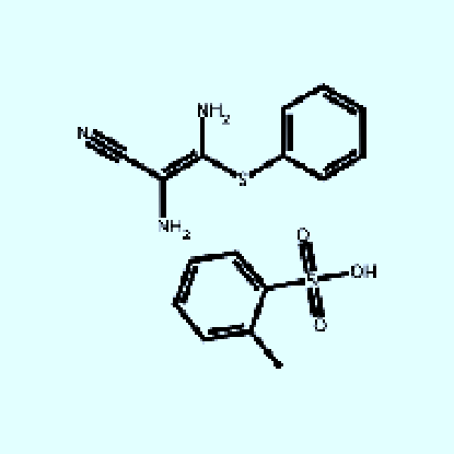 Cc1ccccc1S(=O)(=O)O.N#CC(N)=C(N)Sc1ccccc1